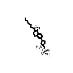 CCCCCCc1onc2c1CCc1cc(C3CCC(N)(COP(=O)(O)O)C3)ccc1-2